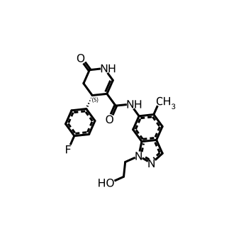 Cc1cc2cnn(CCO)c2cc1NC(=O)C1=CNC(=O)C[C@H]1c1ccc(F)cc1